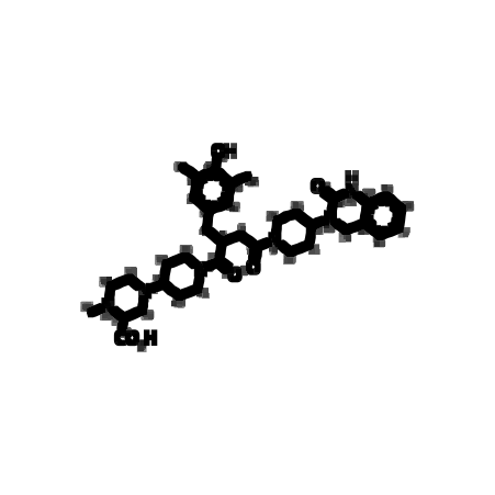 Cc1cc(CC(CC(=O)N2CCC(N3Cc4ccccc4NC3=O)CC2)C(=O)N2CCC(N3CCN(C)C(C(=O)O)C3)CC2)cc(C)c1O